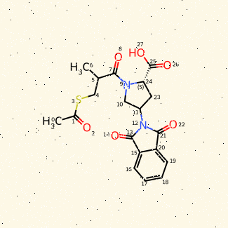 CC(=O)SCC(C)C(=O)N1CC(N2C(=O)c3ccccc3C2=O)C[C@H]1C(=O)O